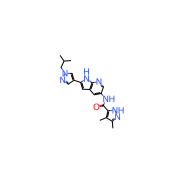 Cc1n[nH]c(C(=O)Nc2cnc3[nH]c(-c4cnn(CC(C)C)c4)cc3c2)c1C